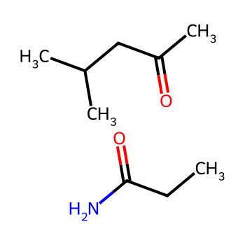 CC(=O)CC(C)C.CCC(N)=O